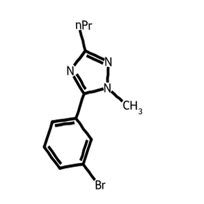 CCCc1nc(-c2cccc(Br)c2)n(C)n1